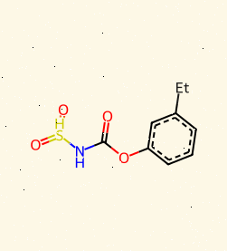 CCc1cccc(OC(=O)N[SH](=O)=O)c1